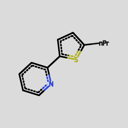 [CH2]CCc1ccc(-c2ccccn2)s1